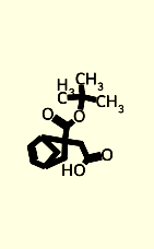 CC(C)(C)OC(=O)C1(CC(=O)O)CC2C=CC1C2